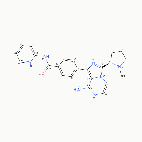 CC(C)(C)N1CCC[C@@H]1c1nc(-c2ccc(C(=O)Nc3ccccn3)cc2)c2c(N)nccn12